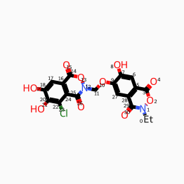 CCn1oc(=O)c2cc(O)c(OCn3oc(=O)c4cc(O)c(O)c(Cl)c4c3=O)cc2c1=O